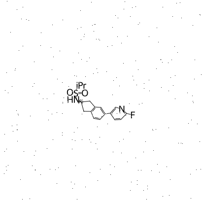 CC(C)S(=O)(=O)N[C@@H]1Cc2ccc(-c3ccc(F)nc3)cc2C1